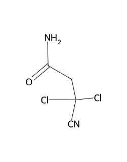 N#CC(Cl)(Cl)CC(N)=O